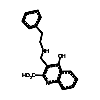 O=C(O)c1nc2ccccc2c(O)c1CNCCc1ccccc1